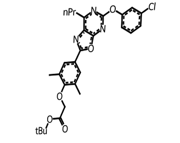 CCCc1nc(Oc2cccc(Cl)c2)nc2oc(-c3cc(C)c(OCC(=O)OC(C)(C)C)c(C)c3)nc12